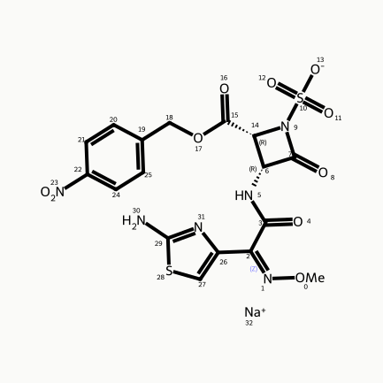 CO/N=C(\C(=O)N[C@H]1C(=O)N(S(=O)(=O)[O-])[C@H]1C(=O)OCc1ccc([N+](=O)[O-])cc1)c1csc(N)n1.[Na+]